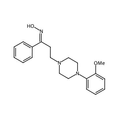 COc1ccccc1N1CCN(CC/C(=N/O)c2ccccc2)CC1